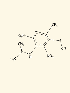 CN(C)Nc1c([N+](=O)[O-])cc(C(F)(F)F)c(SC#N)c1[N+](=O)[O-]